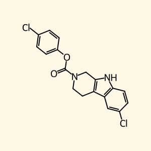 O=C(Oc1ccc(Cl)cc1)N1CCc2c([nH]c3ccc(Cl)cc23)C1